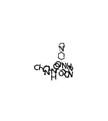 CN(C)c1nccc2oc(C(=O)Nc3ccc(Cl)cn3)c(NC(=O)[C@H]3CC[C@H](N4CCCC4)CC3)c12